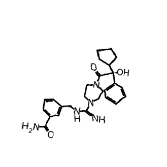 N=C(NCc1cccc(C(N)=O)c1)N1CCN(C(=O)[C@](O)(c2ccccc2)C2CCCC2)CC1